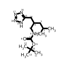 CC(C)CC(CNC(=O)OC(C)(C)C)Cc1nnn[nH]1